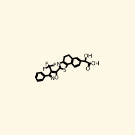 O=C(O)C(O)c1ccc2c(c1)CCc1nc(-c3onc(-c4ccccc4)c3C(F)(F)F)sc1-2